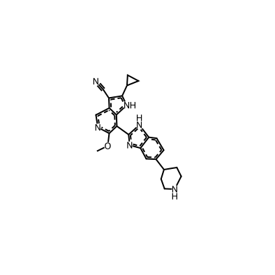 COc1ncc2c(C#N)c(C3CC3)[nH]c2c1-c1nc2cc(C3CCNCC3)ccc2[nH]1